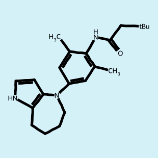 Cc1cc(N2CCCCc3[nH]ccc32)cc(C)c1NC(=O)CC(C)(C)C